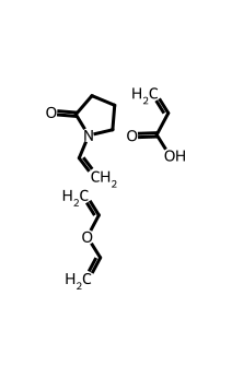 C=CC(=O)O.C=CN1CCCC1=O.C=COC=C